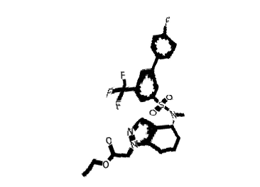 CCOC(=O)Cn1ncc2c1CCC[C@H]2N(C)S(=O)(=O)c1cc(-c2ccc(F)cc2)cc(C(F)(F)F)c1